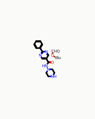 CC(C)(C)OC=O.O=C(NN1CCNCC1)c1cnc(-c2ccccc2)nc1